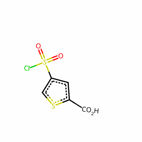 O=C(O)c1cc(S(=O)(=O)Cl)cs1